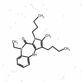 CCCCc1c2c(n(CCCC)c1C)C(=O)N(CC)c1ccccc1N2